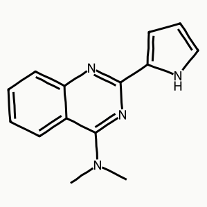 CN(C)c1nc(-c2ccc[nH]2)nc2ccccc12